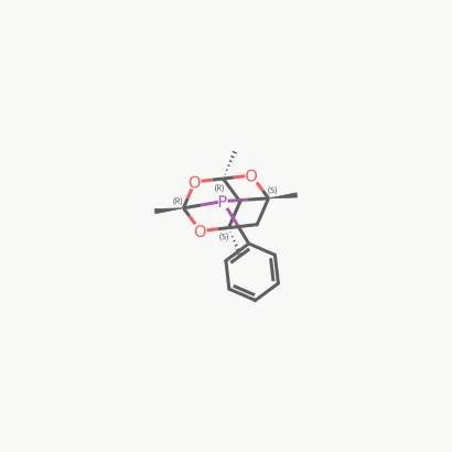 C[C@@]12C[C@@]3(C)O[C@@](C)(O1)P(c1ccccc1)[C@@](C)(C2)O3